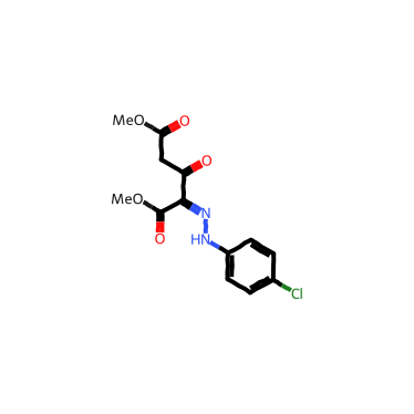 COC(=O)CC(=O)C(=NNc1ccc(Cl)cc1)C(=O)OC